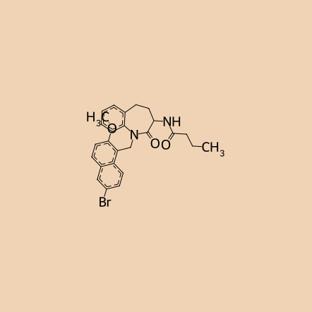 CCCC(=O)NC1CCc2ccccc2N(Cc2c(OC)ccc3cc(Br)ccc23)C1=O